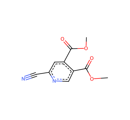 COC(=O)c1cnc(C#N)cc1C(=O)OC